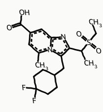 CCS(=O)(=O)C(C)c1nc2cc(C(=O)O)cc(C)n2c1CC1CCC(F)(F)CC1